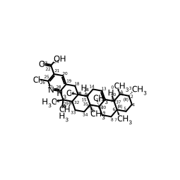 C[C@H]1[C@H](C)CC[C@]2(C)CC[C@]3(C)C(=CC[C@@H]4[C@@]5(C)Cc6cc(C(=O)O)c(Cl)nc6C(C)(C)[C@@H]5CC[C@]43C)[C@H]12